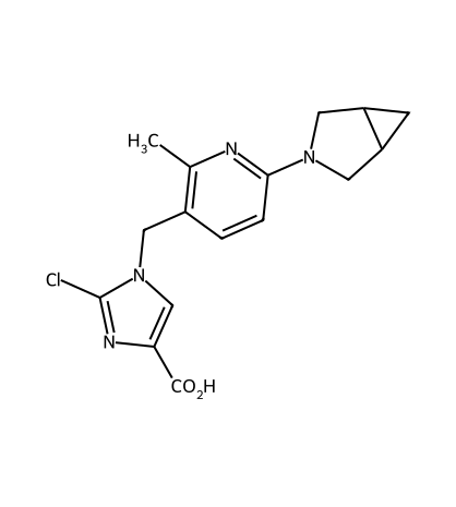 Cc1nc(N2CC3CC3C2)ccc1Cn1cc(C(=O)O)nc1Cl